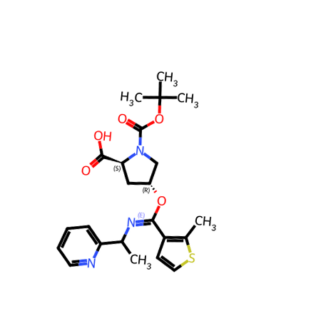 Cc1sccc1/C(=N\C(C)c1ccccn1)O[C@@H]1C[C@@H](C(=O)O)N(C(=O)OC(C)(C)C)C1